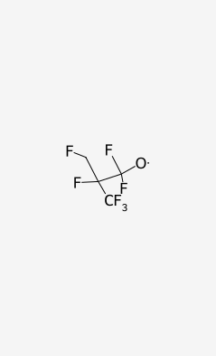 [O]C(F)(F)C(F)(CF)C(F)(F)F